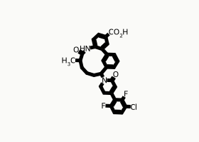 CC1CCCC(N2CCC(c3c(F)ccc(Cl)c3F)=CC2=O)c2cccc(c2)-c2cc(C(=O)O)ccc2NC1=O